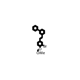 COCOc1ccc(C=Cc2cccc(-c3ccccc3)c2)cc1Br